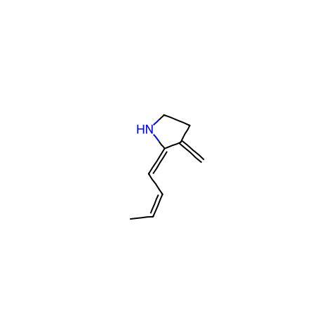 C=C1CCN/C1=C/C=C\C